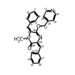 Cn1c(=Cc2ccccc2)c(OCc2ccncc2)nc(=Cc2ccccc2)c1=O